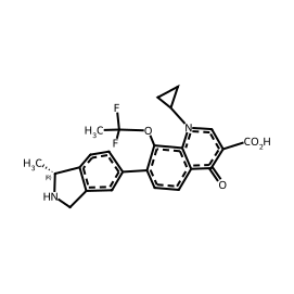 C[C@H]1NCc2cc(-c3ccc4c(=O)c(C(=O)O)cn(C5CC5)c4c3OC(C)(F)F)ccc21